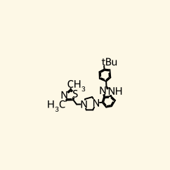 Cc1nc(C)c(CN2CCN(c3cccc4[nH]c(-c5ccc(C(C)(C)C)cc5)nc34)CC2)s1